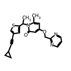 Cc1cc(OCc2ncccn2)cc(=O)n1C(C)c1cc(C#CC2CC2)cs1